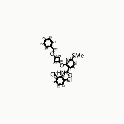 CSc1ncc(C(=O)Nc2c(Cl)cccc2Cl)c(OC2CC(OCc3ccccc3)C2)n1